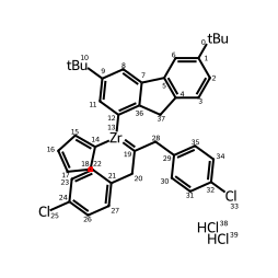 CC(C)(C)c1ccc2c(c1)-c1cc(C(C)(C)C)c[c]([Zr]([C]3=CC=CC3)=[C](Cc3ccc(Cl)cc3)Cc3ccc(Cl)cc3)c1C2.Cl.Cl